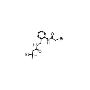 CCC(C)(C)CC(=O)NCc1ccccc1NC(=O)CC(C)(C)C